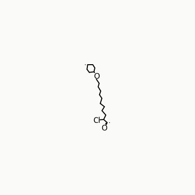 O=[C]C(Cl)CCCCCCCCCCOC1CC[CH]CC1